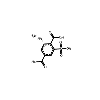 N.N.O=C(O)c1ccc(C(=O)O)c(S(=O)(=O)O)c1